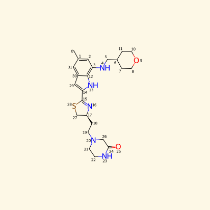 Cc1cc(NCC2CCOCC2)c2[nH]c(C3=N[C@@H](CCN4CCNC(=O)C4)CS3)cc2c1